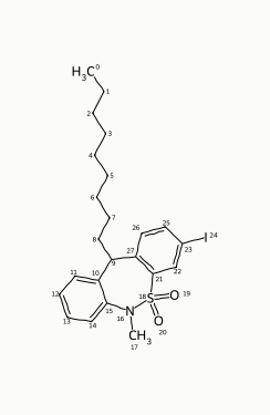 CCCCCCCCCC1c2ccccc2N(C)S(=O)(=O)c2cc(I)ccc21